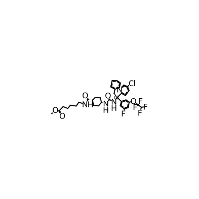 COC(=O)CCCCCNC(=O)[C@H]1CC[C@@H](NC(=O)N[C@@](Cc2ccccc2)(c2cc(F)cc(OC(F)(F)C(F)F)c2)c2ccc(Cl)cn2)CC1